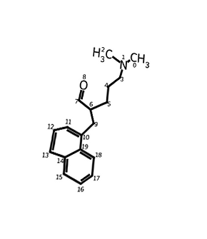 CN(C)CCCC(C=O)Cc1cccc2ccccc12